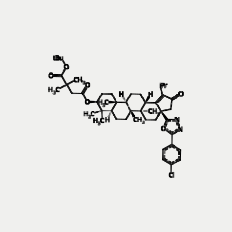 CC(C)C1=C2[C@H]3CC[C@@H]4[C@@]5(C)CC[C@H](OC(=O)CC(C)(C)C(=O)OC(C)(C)C)C(C)(C)[C@@H]5CC[C@@]4(C)[C@]3(C)CC[C@@]2(c2nnc(-c3ccc(Cl)cc3)o2)CC1=O